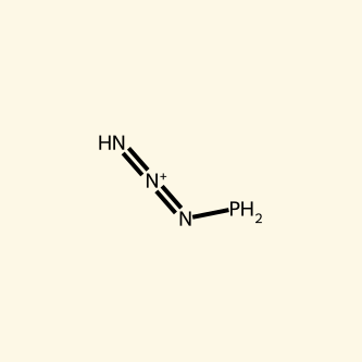 N=[N+]=NP